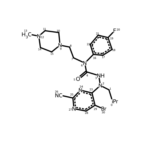 CC(C)CN(NC(=O)N(CCN1CCN(C)CC1)c1ccc(F)cc1)c1nc(C#N)ncc1Br